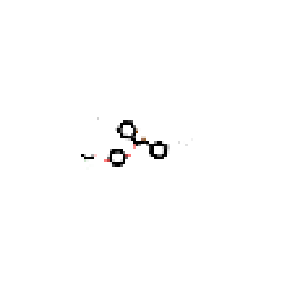 COc1cccc(-c2sc3cc(OC)ccc3c2Oc2ccc(OCC(C)Br)cc2)c1